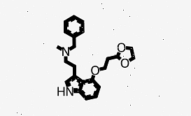 CN(CCc1c[nH]c2cccc(OCCC3OCCO3)c12)Cc1ccccc1